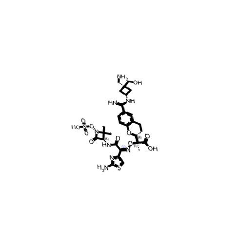 CC1(C)[C@H](NC(=O)/C(=N\O[C@](C)(C(=O)O)[C@H]2CCc3cc(C(=N)N[C@H]4C[C@](CN)(CO)C4)ccc3O2)c2csc(N)n2)C(=O)N1OS(=O)(=O)O